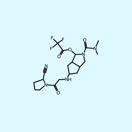 CN(C)C(=O)N1CC2CC(NCC(=O)N3CCCC3C#N)CC2C1OC(=O)C(F)(F)F